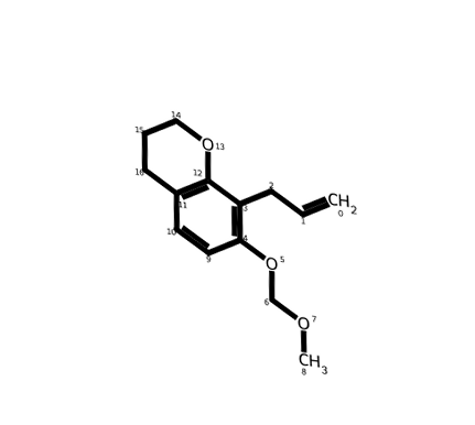 C=CCc1c(OCOC)ccc2c1OCCC2